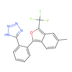 Cc1ccc2c(-c3ccccc3-c3nnn[nH]3)oc(C(F)(F)F)c2c1